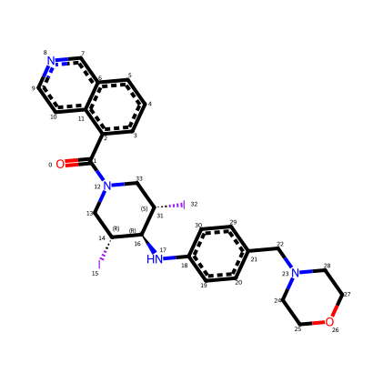 O=C(c1cccc2cnccc12)N1C[C@@H](I)[C@H](Nc2ccc(CN3CCOCC3)cc2)[C@@H](I)C1